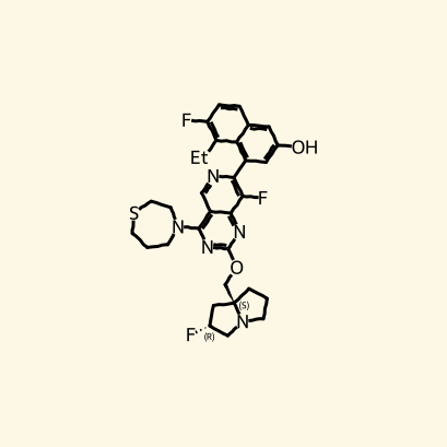 CCc1c(F)ccc2cc(O)cc(-c3ncc4c(N5CCCSCC5)nc(OC[C@@]56CCCN5C[C@H](F)C6)nc4c3F)c12